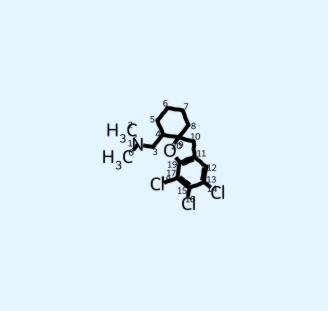 CN(C)CC1CCCCC12Cc1cc(Cl)c(Cl)c(Cl)c1O2